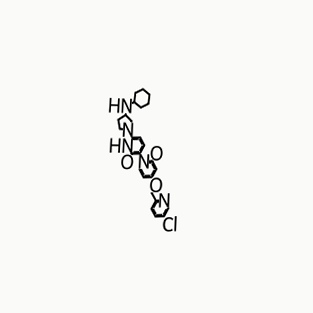 O=c1[nH]c(N2CCC(NC3CCCCC3)C2)ccc1-n1ccc(OCc2ccc(Cl)cn2)cc1=O